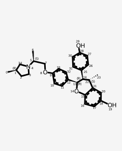 C[C@@H]1CCN([C@@H](C)COc2ccc([C@@H]3Oc4ccc(O)cc4[C@@H](C)[C@@H]3c3ccc(O)cc3)cc2)C1